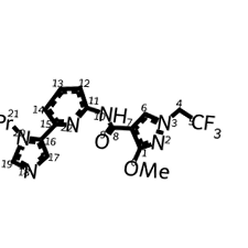 COc1nn(CC(F)(F)F)cc1C(=O)Nc1cccc(-c2cncn2C(C)C)n1